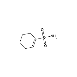 NS(=O)(=O)C1=CCCCC1